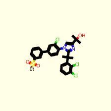 CCS(=O)(=O)c1cccc(-c2ccc(-n3cc(C(C)(C)O)nc3C(C)(C)c3cccc(Cl)c3Cl)c(Cl)c2)c1